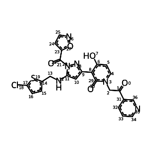 O=C(Cn1ccc(O)c(-c2cc(NCc3ccc(Cl)s3)n(C(=O)c3ccno3)n2)c1=O)c1cccnc1